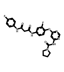 O=C(CC(=O)Nc1ccc(Oc2cc(NC(=O)N3CCCC3)ncn2)c(F)c1)Nc1ccc(F)cc1